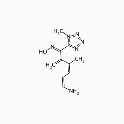 C=C(/C(C)=C\C=C/N)/C(=N\O)c1nnnn1C